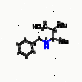 CCCCC(NCc1ccccc1)C(CCCC)C(=O)O